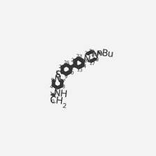 C=CNC1CCN(SC2C=CC(c3ccc(N4CCN(CCCC)CC4)cc3)CC2)CC1